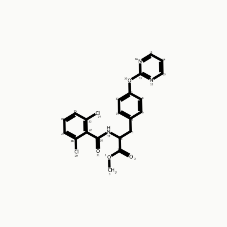 COC(=O)C(Cc1ccc(Oc2ncccn2)cc1)NC(=O)c1c(Cl)cccc1Cl